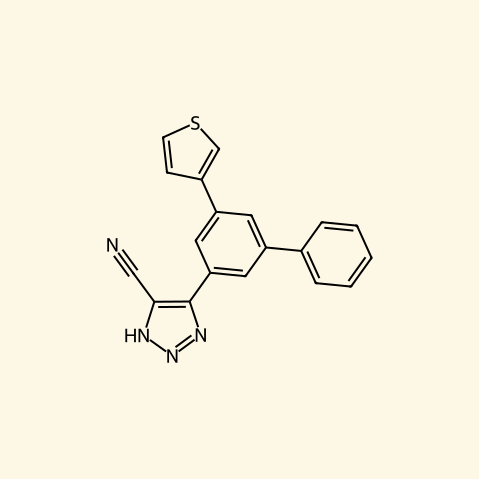 N#Cc1[nH]nnc1-c1cc(-c2ccccc2)cc(-c2ccsc2)c1